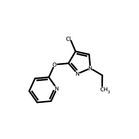 CCn1cc(Cl)c(Oc2ccccn2)n1